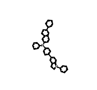 c1ccc(-c2ccc3cc(N(c4ccccc4)c4ccc(-c5ccc6c(ccn6-c6ccccc6)c5)cc4)ccc3c2)cc1